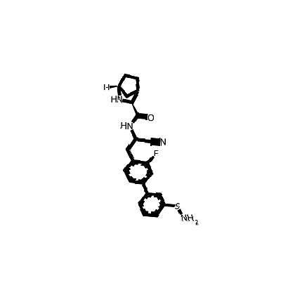 N#CC(Cc1ccc(-c2cccc(SN)c2)cc1F)NC(=O)[C@H]1N[C@@H]2CCC1C2